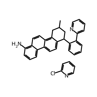 CC1Cc2c(ccc3c2ccc2c(N)cccc23)C(c2ccccc2-c2ccccn2)C1.Clc1ccccn1